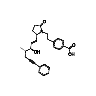 C[C@@H](CC#Cc1ccccc1)[C@H](O)C=CC1CCC(=O)N1CCc1ccc(C(=O)O)cc1